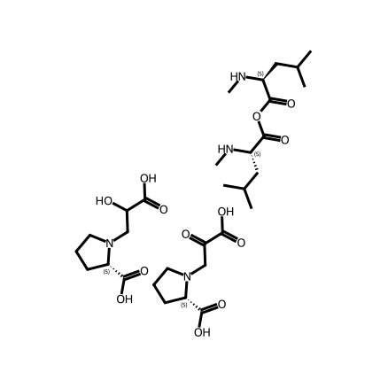 CN[C@@H](CC(C)C)C(=O)OC(=O)[C@H](CC(C)C)NC.O=C(O)C(=O)CN1CCC[C@H]1C(=O)O.O=C(O)C(O)CN1CCC[C@H]1C(=O)O